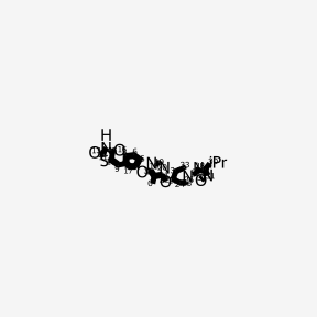 Cc1c(Oc2cccc(C=C3SC(=O)NC3=O)c2)ncnc1OC1CCN(c2nc(C(C)C)no2)CC1